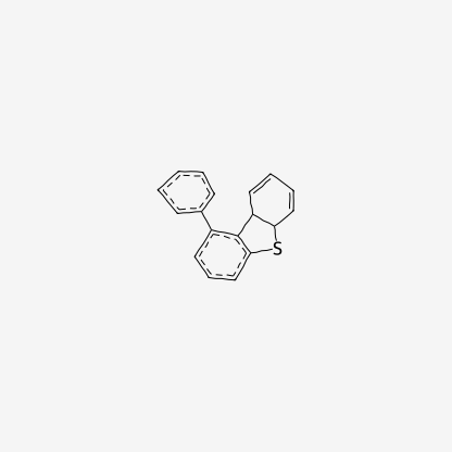 C1=CC2Sc3cccc(-c4ccccc4)c3C2C=C1